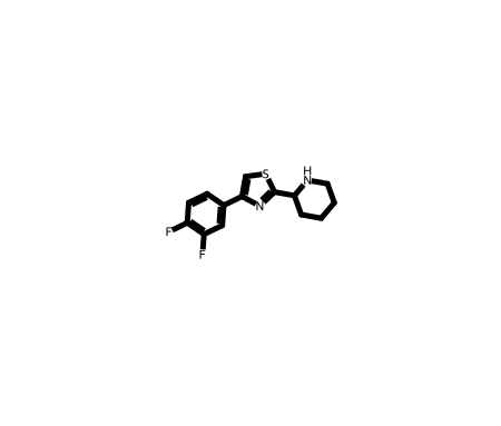 Fc1ccc(-c2csc(C3CCCCN3)n2)cc1F